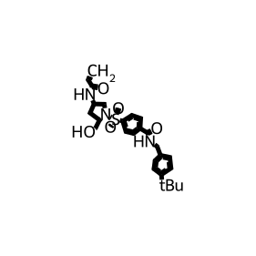 C=CC(=O)NC1CC(CO)N(S(=O)(=O)c2ccc(C(=O)NCc3ccc(C(C)(C)C)cc3)cc2)C1